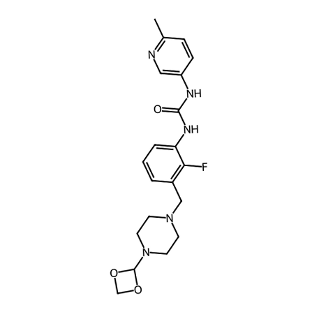 Cc1ccc(NC(=O)Nc2cccc(CN3CCN(C4OCO4)CC3)c2F)cn1